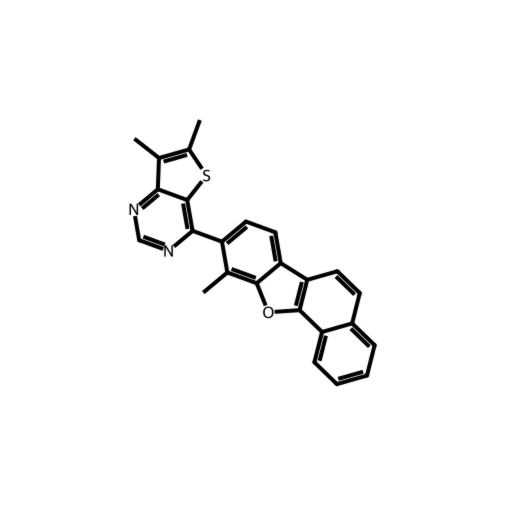 Cc1sc2c(-c3ccc4c(oc5c6ccccc6ccc45)c3C)ncnc2c1C